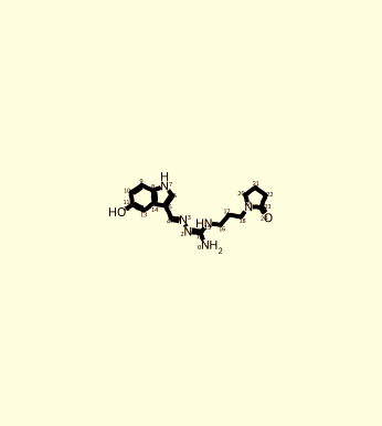 NC(=NN=Cc1c[nH]c2ccc(O)cc12)NCCCN1CCCC1=O